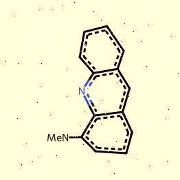 CNc1cccc2cc3ccccc3nc12